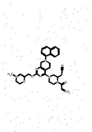 C=CC(=O)N1CCN(c2nc(OCC3CN(C)CCO3)nc3c2CCN(c2cccc4ccccc24)C3)CC1CC#N